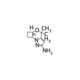 CC1(C)O[C@@H]2CCC2n2nc(N)cc21